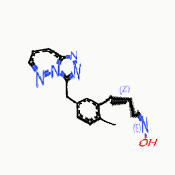 Cc1ccc(Cc2nnc3cccnn23)cc1/C=C\C=N\O